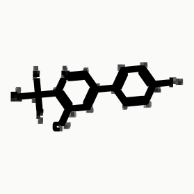 CCC(F)(F)c1ncc(-c2ccc(F)cc2)cc1Cl